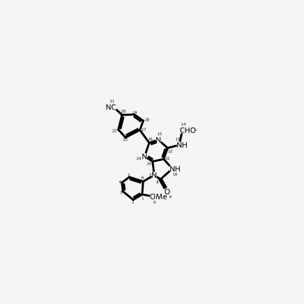 COc1ccccc1-n1c(=O)[nH]c2c(N[C]=O)nc(-c3ccc(C#N)cc3)nc21